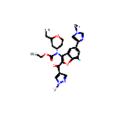 CCOC(=O)N(c1c(C(=O)c2cnn(C)c2)oc2c(F)cc(-c3cn(C)cn3)cc12)[C@H]1CCOC(CC)C1